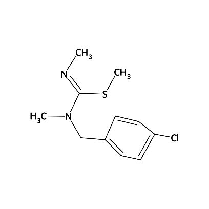 CN=C(SC)N(C)Cc1ccc(Cl)cc1